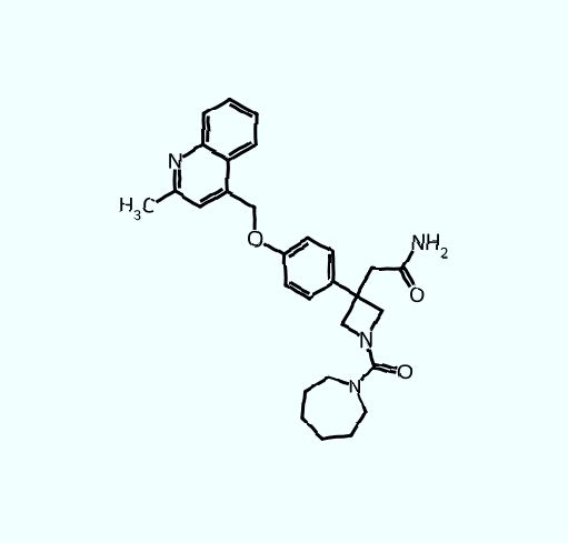 Cc1cc(COc2ccc(C3(CC(N)=O)CN(C(=O)N4CCCCCC4)C3)cc2)c2ccccc2n1